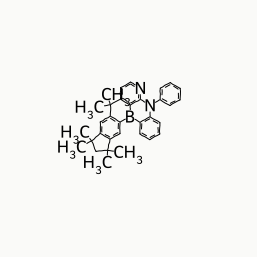 CC1(C)CC(C)(C)c2cc3c(cc21)B1c2ccccc2N(c2ccccc2)c2nccc(c21)C3(C)C